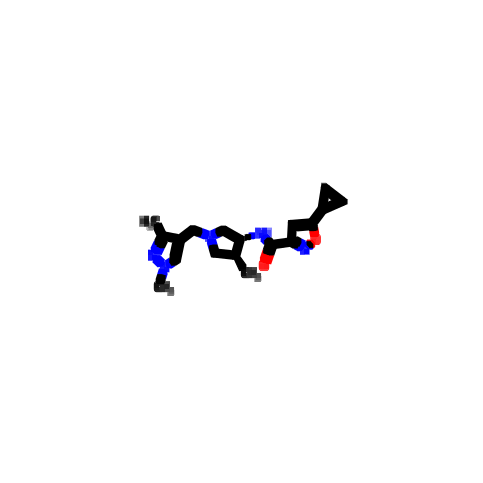 Cc1nn(C)cc1CN1C[C@H](NC(=O)c2cc(C3CC3)on2)[C@@H](C)C1